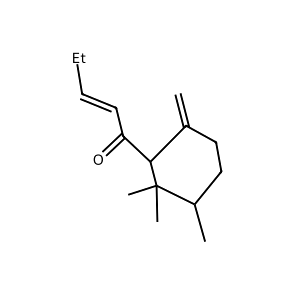 C=C1CCC(C)C(C)(C)C1C(=O)/C=C/CC